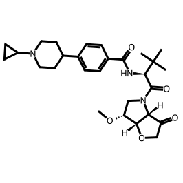 CO[C@@H]1CN(C(=O)[C@@H](NC(=O)c2ccc(C3CCN(C4CC4)CC3)cc2)C(C)(C)C)[C@@H]2C(=O)CO[C@@H]21